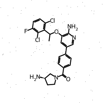 CC(Oc1cc(-c2ccc(C(=O)N3CC[C@@H](N)C3)cc2)cnc1N)c1c(Cl)ccc(F)c1Cl